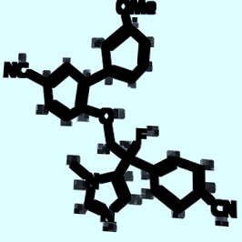 COc1cccc(-c2cc(C#N)ccc2OCC(F)(c2ccc(C#N)cc2)c2cncn2C)c1